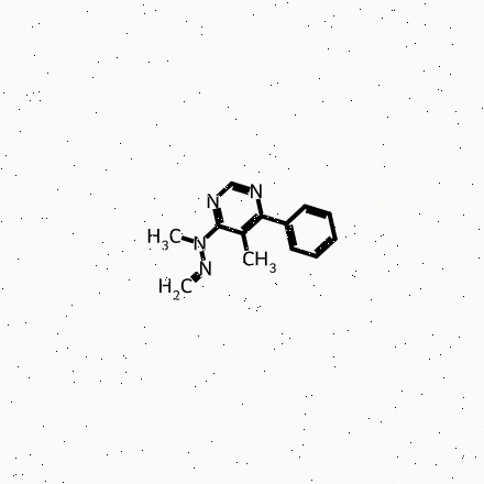 C=NN(C)c1ncnc(-c2ccccc2)c1C